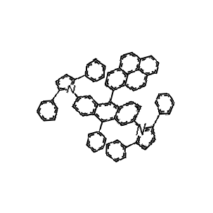 c1ccc(-c2c3cc(-n4c(-c5ccccc5)ccc4-c4ccccc4)ccc3c(-c3ccc4ccc5cccc6ccc3c4c56)c3cc(-n4c(-c5ccccc5)ccc4-c4ccccc4)ccc23)cc1